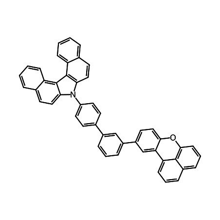 c1cc(-c2ccc(-n3c4ccc5ccccc5c4c4c5ccccc5ccc43)cc2)cc(-c2ccc3c(c2)-c2cccc4cccc(c24)O3)c1